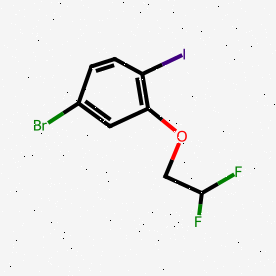 FC(F)COc1cc(Br)ccc1I